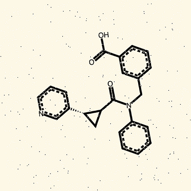 O=C(O)c1cccc(CN(C(=O)C2C[C@@H]2c2cccnc2)c2ccccc2)c1